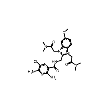 COc1ccc2c(c1)n(CC(=O)N(C)C)c(CNC(=O)c1nc(Cl)c(N)nc1N)[n+]2CC(=O)N(C)C